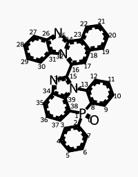 O=P1(c2ccccc2)c2ccccc2-n2c(-c3cc4ccccc4c4nc5ccccc5n34)nc3cccc1c32